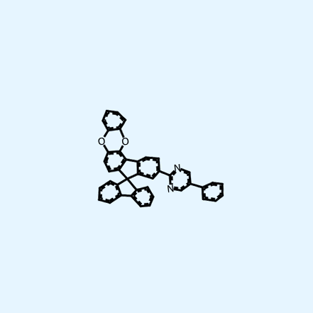 c1ccc(-c2cnc(-c3ccc4c(c3)C3(c5ccccc5-c5ccccc53)c3ccc5c(c3-4)Oc3ccccc3O5)nc2)cc1